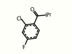 CC(C)C(=O)c1ccc(F)cc1Cl